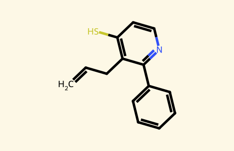 C=CCc1c(S)ccnc1-c1ccccc1